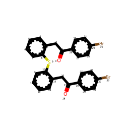 O=C(Cc1ccccc1Sc1ccccc1CC(=O)c1ccc(Br)cc1)c1ccc(Br)cc1